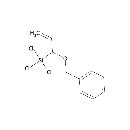 C=CC(OCc1ccccc1)[Si](Cl)(Cl)Cl